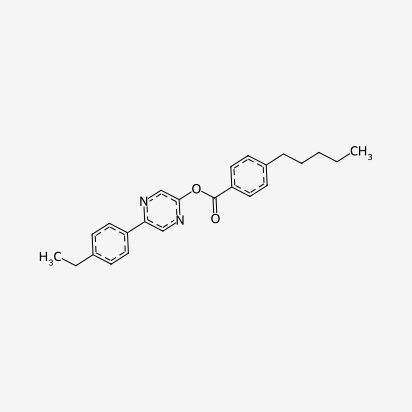 CCCCCc1ccc(C(=O)Oc2cnc(-c3ccc(CC)cc3)cn2)cc1